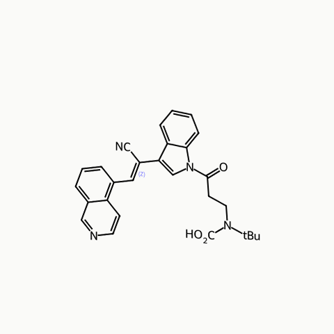 CC(C)(C)N(CCC(=O)n1cc(/C(C#N)=C/c2cccc3cnccc23)c2ccccc21)C(=O)O